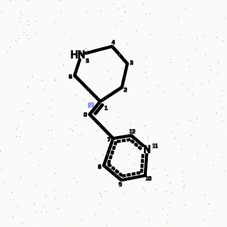 C(=C1/CCCNC1)/c1cccnc1